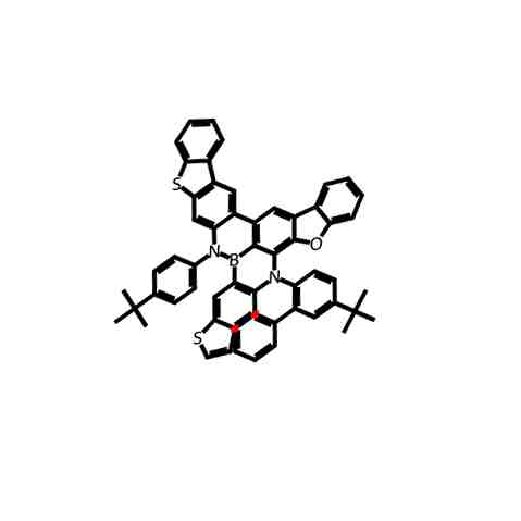 CC(C)(C)c1ccc(N2B3c4cc5sccc5cc4N(c4ccc(C(C)(C)C)cc4-c4ccccc4)c4c3c(cc3c4oc4ccccc43)-c3cc4c(cc32)sc2ccccc24)cc1